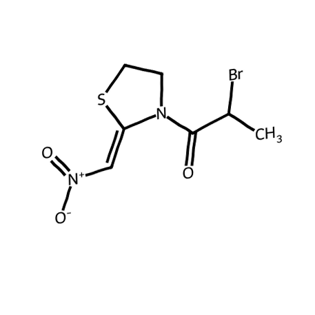 CC(Br)C(=O)N1CCSC1=C[N+](=O)[O-]